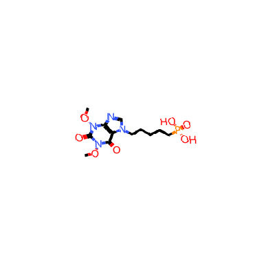 COn1c(=O)c2c(ncn2CCCCCP(=O)(O)O)n(OC)c1=O